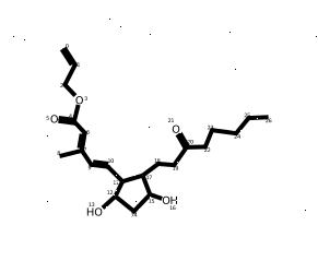 C=CCOC(=O)C=C(C)C=CC1C(O)CC(O)C1CCC(=O)CCCCC